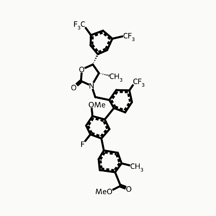 COC(=O)c1ccc(-c2cc(-c3ccc(C(F)(F)F)cc3CN3C(=O)O[C@H](c4cc(C(F)(F)F)cc(C(F)(F)F)c4)[C@@H]3C)c(OC)cc2F)cc1C